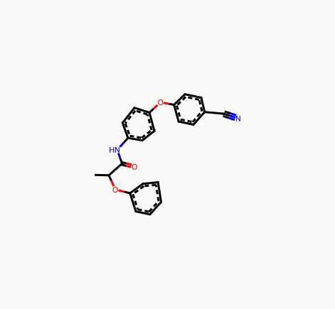 CC(Oc1ccccc1)C(=O)Nc1ccc(Oc2ccc(C#N)cc2)cc1